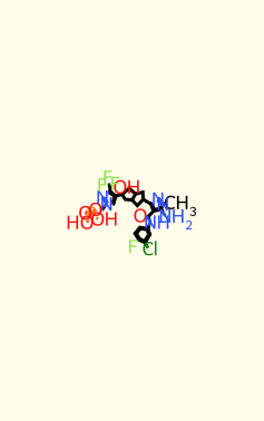 Cn1nc(C2CC3CC(O)(c4cn(COP(=O)(O)O)nc4C(F)(F)F)CC3C2)c(C(=O)Nc2ccc(F)c(Cl)c2)c1N